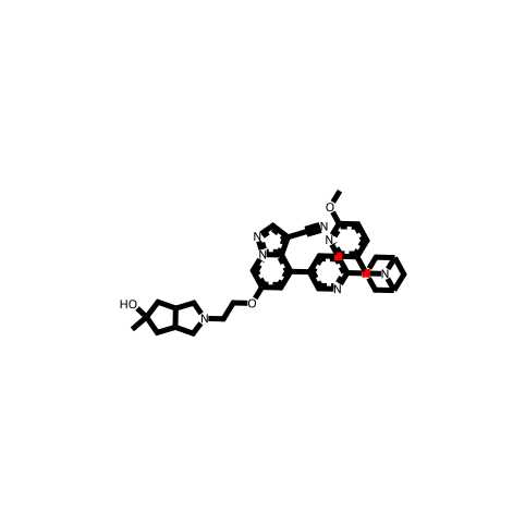 COc1ccc(CN2C3CC2CN(c2ccc(-c4cc(OCCN5CC6CC(C)(O)CC6C5)cn5ncc(C#N)c45)cn2)C3)cn1